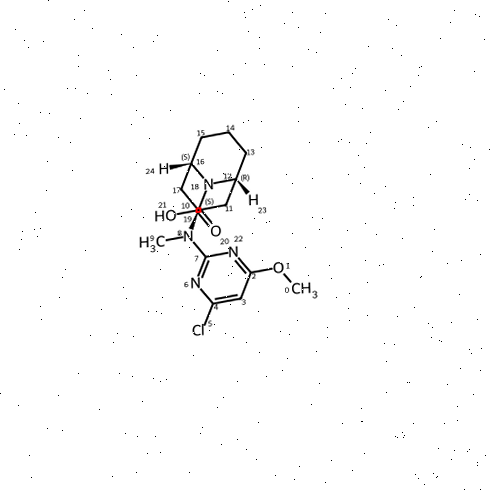 COc1cc(Cl)nc(N(C)[C@@H]2C[C@H]3CCC[C@@H](C2)N3C(=O)O)n1